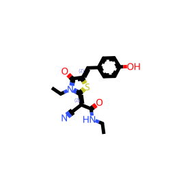 CCNC(=O)/C(C#N)=c1\s/c(=C\c2ccc(O)cc2)c(=O)n1CC